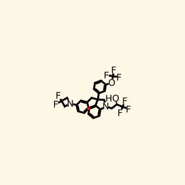 O[C@H](CN1CC(Cc2cccc(N3CC(F)(F)C3)c2)(c2cccc(OC(F)(F)F)c2)c2ccccc21)C(F)(F)F